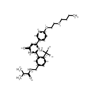 CCCCOCCOc1ccc(-c2cc(=O)[nH]c(-c3cc(CNC(=O)C(C)C)ccc3C(F)(F)F)n2)cn1